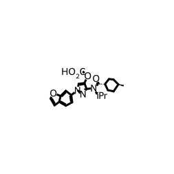 CC(C)N(c1nn(-c2ccc3ccoc3c2)cc1OC(=O)O)C(=O)[C@H]1CC[C@H](C)CC1